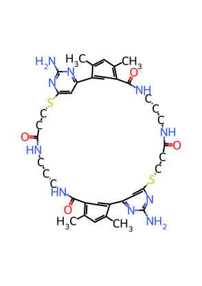 Cc1cc(C)c2cc1C(=O)NCCCNC(=O)CCSc1cc(nc(N)n1)-c1cc(c(C)cc1C)C(=O)NCCCNC(=O)CCSc1cc-2nc(N)n1